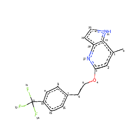 Cc1cc(OCCc2ccc(C(F)(F)F)cc2)nc2cc[nH]c12